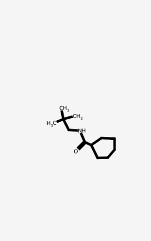 CC(C)(C)CNC(=O)C1CCCCC1